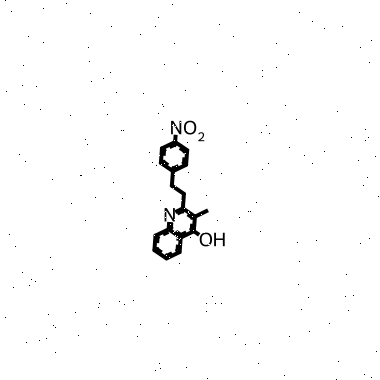 Cc1c(CCc2ccc([N+](=O)[O-])cc2)nc2ccccc2c1O